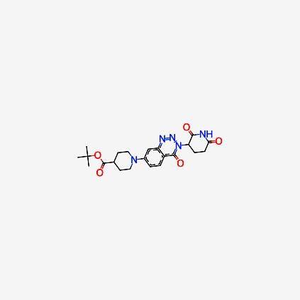 CC(C)(C)OC(=O)C1CCN(c2ccc3c(=O)n(C4CCC(=O)NC4=O)nnc3c2)CC1